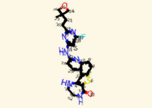 C[C@@H]1CNc2c(sc3ccc4nc(Nc5cc(F)nc(CCC6(C)COC6)n5)ccc4c23)C(=O)N1